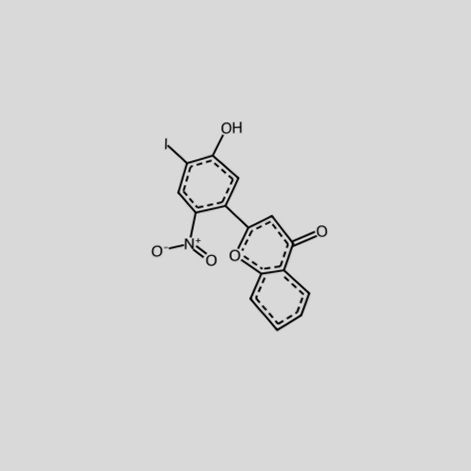 O=c1cc(-c2cc(O)c(I)cc2[N+](=O)[O-])oc2ccccc12